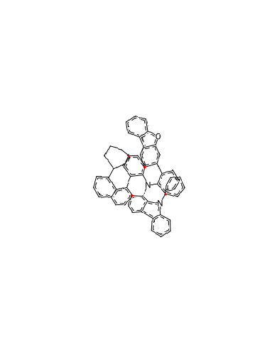 c1ccc(-n2c3ccccc3c3cccc(N(c4ccccc4-c4ccc5c(c4)oc4ccccc45)c4ccccc4-c4cccc5cccc(C6CCCCC6)c45)c32)cc1